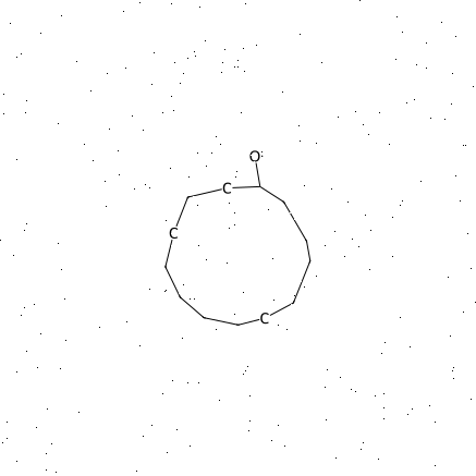 [O]C1CCCCCCCCCCCC1